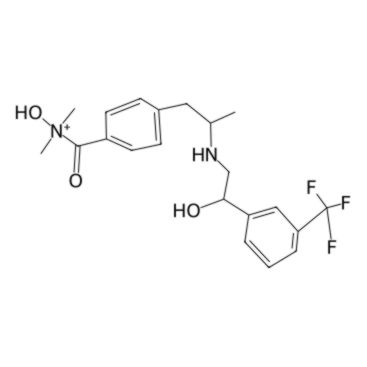 CC(Cc1ccc(C(=O)[N+](C)(C)O)cc1)NCC(O)c1cccc(C(F)(F)F)c1